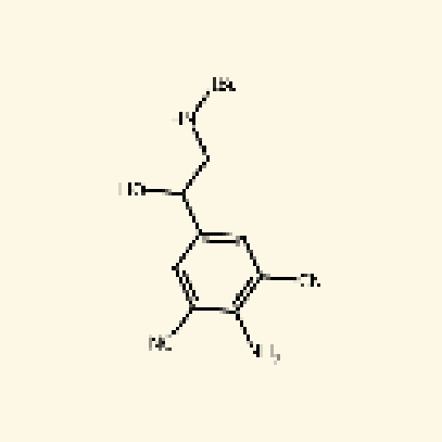 CC(C)(C)NCC(O)c1cc(C#N)c(N)c(C#N)c1